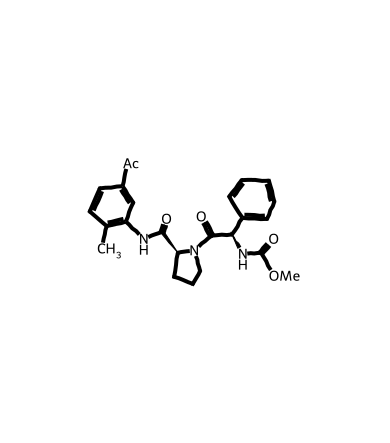 COC(=O)N[C@@H](C(=O)N1CCC[C@H]1C(=O)Nc1cc(C(C)=O)ccc1C)c1ccccc1